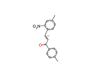 Cc1ccc(C(=O)/C=C/c2ccc(C)cc2[N+](=O)[O-])cc1